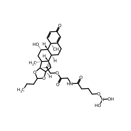 CCCC1O[C@@H]2C[C@H]3[C@@H]4CCC5=CC(=O)C=C[C@]5(C)[C@H]4[C@@H](O)C[C@]3(C)[C@]2(C(=O)COC(=O)CNC(=O)CCCON(O)O)O1